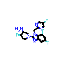 NC1CN(c2nc3cc(F)cc(F)c3n2Cc2ncc(F)cn2)CCC1F